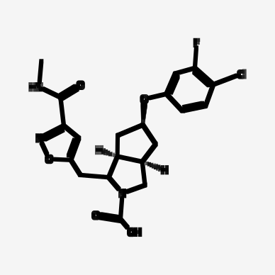 CNC(=O)c1cc(CC2[C@H]3C[C@@H](Oc4ccc(Cl)c(F)c4)C[C@H]3CN2C(=O)O)on1